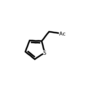 [CH]C(=O)Cc1cccs1